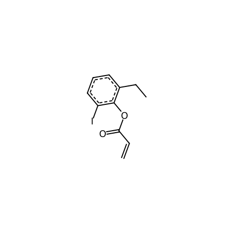 C=CC(=O)Oc1c(I)cccc1CC